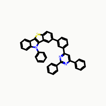 c1ccc(-c2cc(-c3cccc(-c4ccc5sc6c7ccccc7n(-c7ccccc7)c6c5c4)c3)nc(-c3ccccc3)n2)cc1